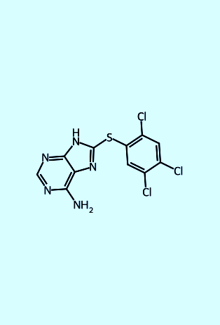 Nc1ncnc2[nH]c(Sc3cc(Cl)c(Cl)cc3Cl)nc12